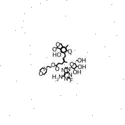 COc1c(C)c2c(c(O)c1C/C=C(\C)CCC(=O)OCCN1CCOCC1)C(=O)OC2.Nc1nc(F)nc2c1ncn2[C@@H]1O[C@H](CO)[C@@H](O)[C@@H]1O